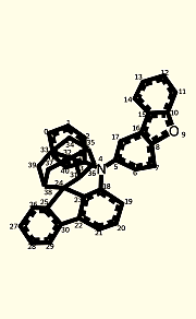 c1ccc(N(c2ccc3oc4ccccc4c3c2)c2cccc3c2C2(c4ccccc4-3)C3CC4CC(C3)CC2C4)cc1